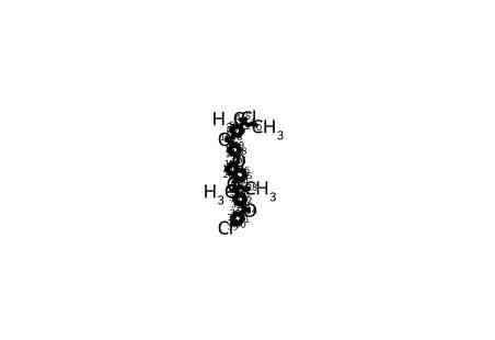 CCCC(C)(Cl)c1ccc(C(=O)c2ccc(Oc3cccc4c(OC(C)(CCC)c5ccc(C(=O)c6ccc(Cl)cc6)cc5)cccc34)cc2)cc1